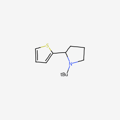 CC(C)(C)N1CCCC1c1cccs1